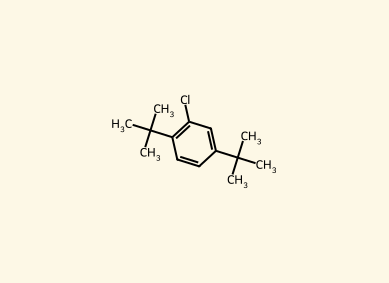 CC(C)(C)c1ccc(C(C)(C)C)c(Cl)c1